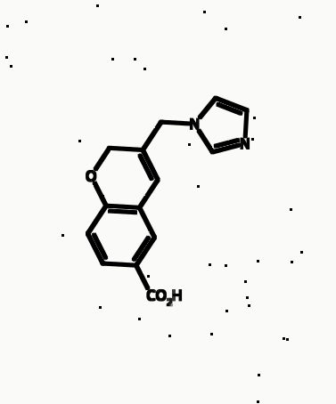 O=C(O)c1ccc2c(c1)C=C(Cn1ccnc1)CO2